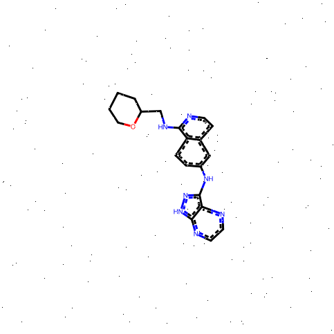 c1cc2cc(Nc3n[nH]c4nccnc34)ccc2c(NCC2CCCCO2)n1